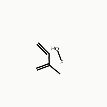 C=CC(=C)C.OF